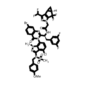 COc1ccc(CN(c2nn(C)c3c(-n4c([C@H](Cc5cc(F)cc(F)c5)NC(=O)Cn5nc(C(F)F)c6c5C(F)(F)[C@@H]5CC65)nc5cc(Br)ccc5c4=O)ccc(Cl)c23)S(C)(=O)=O)cc1